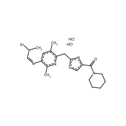 CCN(C)/C=N\c1cc(C)c(Cc2nc(C(=O)N3CCCCC3)cs2)nc1C.Cl.Cl